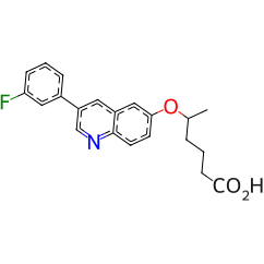 CC(CCCC(=O)O)Oc1ccc2ncc(-c3cccc(F)c3)cc2c1